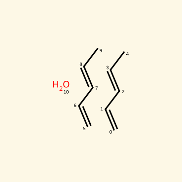 C=CC=CC.C=CC=CC.O